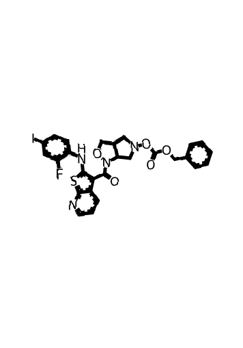 O=C(OCc1ccccc1)ON1CC2CON(C(=O)c3c(Nc4ccc(I)cc4F)sc4ncccc34)C2C1